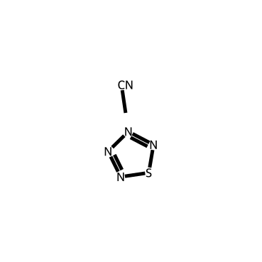 CC#N.n1nnsn1